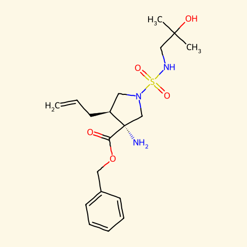 C=CC[C@H]1CN(S(=O)(=O)NCC(C)(C)O)C[C@@]1(N)C(=O)OCc1ccccc1